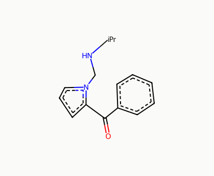 CC(C)NCn1cccc1C(=O)c1ccccc1